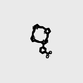 O=[N+]([O-])c1cccc(-c2cc3cc4nc(cc5ccc(cc6nc(cc2[nH]3)C=C6)[nH]5)C=C4)c1